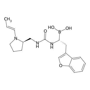 CC=CN1CCC[C@@H]1CNC(=O)N[C@@H](Cc1coc2ccccc12)B(O)O